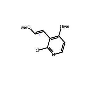 CO/C=C/c1c(OC)ccnc1Cl